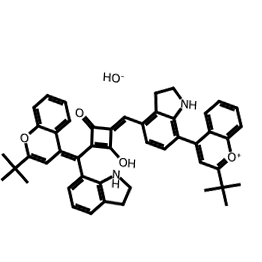 CC(C)(C)C1=CC(=C(C2=C(O)C(=Cc3ccc(-c4cc(C(C)(C)C)[o+]c5ccccc45)c4c3CCN4)C2=O)c2cccc3c2NCC3)c2ccccc2O1.[OH-]